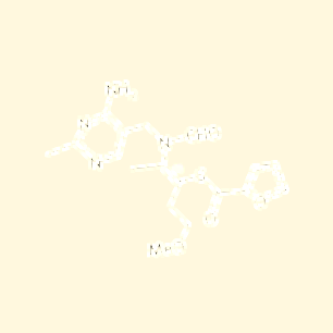 COCC/C(SC(=O)c1ccco1)=C(\C)N(C=O)Cc1cnc(C)nc1N